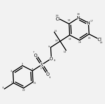 Cc1ccc(S(=O)(=O)OCC(C)(C)c2cc(Cl)nnc2Cl)cc1